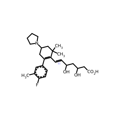 Cc1cc(C2=C(/C=C/C(O)CC(O)CC(=O)O)C(C)(C)CC(N3CCCC3)C2)ccc1F